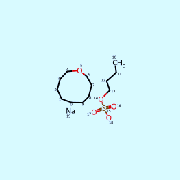 C1CCCCOCCCC1.CCCCOS(=O)(=O)[O-].[Na+]